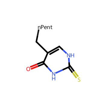 CCCCCCc1c[nH]c(=S)[nH]c1=O